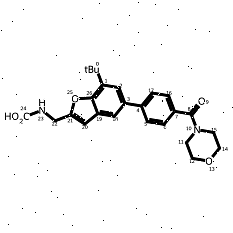 CC(C)(C)c1cc(-c2ccc(C(=O)N3CCOCC3)cc2)cc2cc(CNC(=O)O)oc12